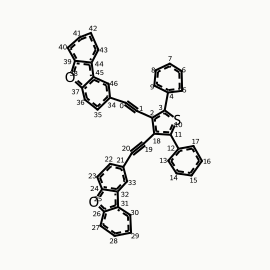 C(#Cc1c(-c2ccccc2)sc(-c2ccccc2)c1C#Cc1ccc2oc3ccccc3c2c1)c1ccc2oc3ccccc3c2c1